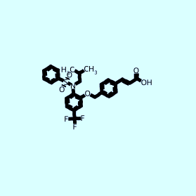 CC(C)CN(c1ccc(C(F)(F)F)cc1OCc1ccc(/C=C/C(=O)O)cc1)S(=O)(=O)c1ccccc1